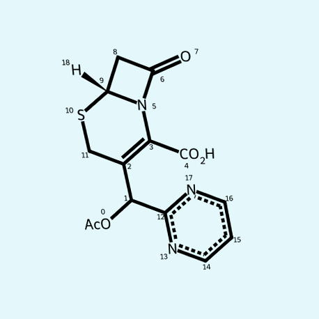 CC(=O)OC(C1=C(C(=O)O)N2C(=O)C[C@H]2SC1)c1ncccn1